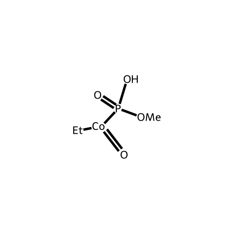 C[CH2][Co](=[O])[P](=O)(O)OC